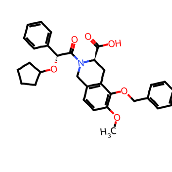 COc1ccc2c(c1OCc1ccccc1)C[C@H](C(=O)O)N(C(=O)[C@H](OC1CCCC1)c1ccccc1)C2